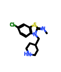 CN=c1sc2cc(Cl)ccc2n1CC1CCNCC1